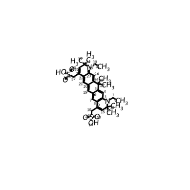 CCN1c2cc3c(cc2C(CS(=O)(=O)O)=CC1(C)C)C=c1cc2c(cc1C3(C)C)=[N+](CC)C(C)(C)C=C2CS(=O)(=O)O